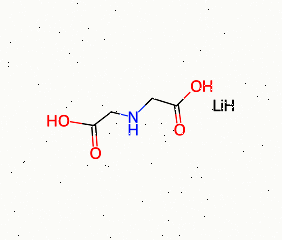 O=C(O)CNCC(=O)O.[LiH]